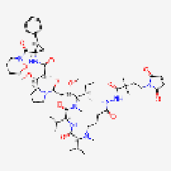 CC[C@H](C)[C@@H]([C@@H](CC(=O)N1CCC[C@H]1[C@H](OC)[C@@H](C)C(=O)N[C@@]1(C(=O)N2CCCCO2)C[C@@H]1c1ccccc1)OC)N(C)C(=O)[C@@H](NC(=O)[C@H](C(C)C)N(C)CCCC(=O)NNC(=O)C(C)(C)CCN1C(=O)C=CC1=O)C(C)C